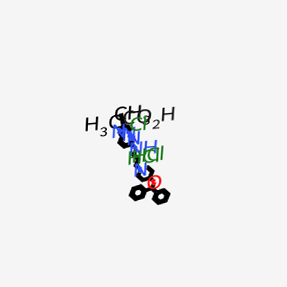 CC(C)(C(=O)O)c1nc2ccc(NCCCN3CCC(OC(c4ccccc4)c4ccccc4)CC3)nn2c1Cl.Cl.Cl